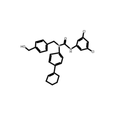 O=C(Nc1cc(Cl)cc(Cl)c1)N(Cc1ccc(CO)cc1)c1ccc(C2=CCCCC2)cc1